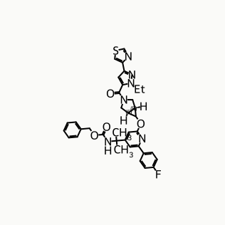 CCn1nc(-c2cscn2)cc1C(=O)N1C[C@@H]2C(Oc3cc(C(C)(C)NC(=O)OCc4ccccc4)cc(-c4ccc(F)cc4)n3)[C@@H]2C1